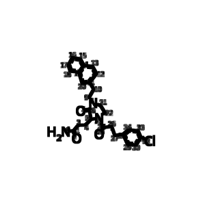 NC(=O)CCC1C(=O)N(CCc2ccc3ccccc3c2)CCN1C(=O)[CH]Cc1ccc(Cl)cc1